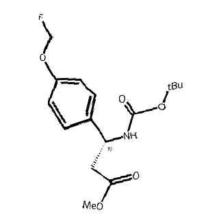 COC(=O)C[C@@H](NC(=O)OC(C)(C)C)c1ccc(OCF)cc1